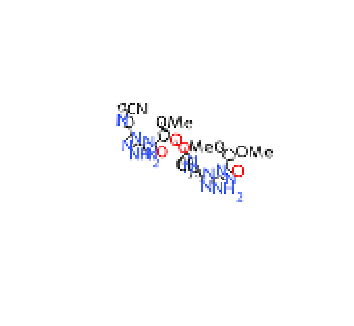 COc1cc(OCOC(Cn2cc(-c3cnc(N)c(-c4cn(C)c(=O)c(-c5cc(OC)cc(OC)c5)n4)n3)c(C)n2)CC(F)(F)F)cc(-c2nc(-c3nc(-c4ccc(C5(C#N)CCC5)nc4)cnc3N)cn(C)c2=O)c1